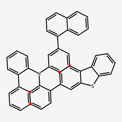 c1ccc(-c2ccccc2N(c2cccc(-c3cccc4ccccc34)c2)c2ccccc2-c2ccc3c(c2)sc2ccccc23)cc1